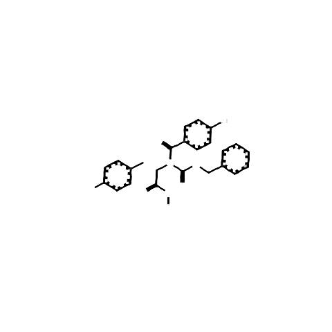 COC(=O)[C@H](Cc1ccc(O)cc1)N(C(=O)OCc1ccccc1)C(=O)c1ccc(N)cc1